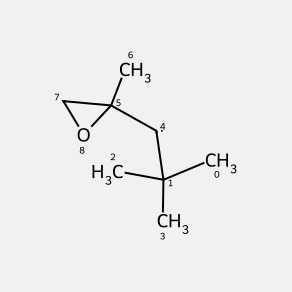 CC(C)(C)[CH]C1(C)CO1